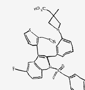 Cc1ccc(S(=O)(=O)n2c(-c3cccc(N4CC(C)(C(=O)O)C4)c3)c(-c3ccsc3C#N)c3cc(F)ccc32)cc1